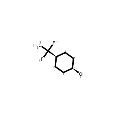 CC(F)(F)[C@H]1CC[C@@H](O)CC1